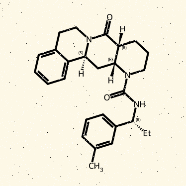 CC[C@@H](NC(=O)N1CCC[C@H]2C(=O)N3CCc4ccccc4[C@@H]3C[C@H]21)c1cccc(C)c1